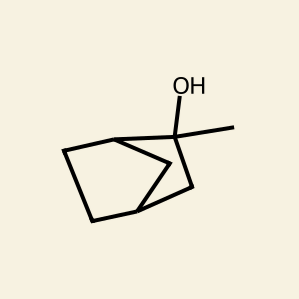 CC1(O)CC2CCC1C2